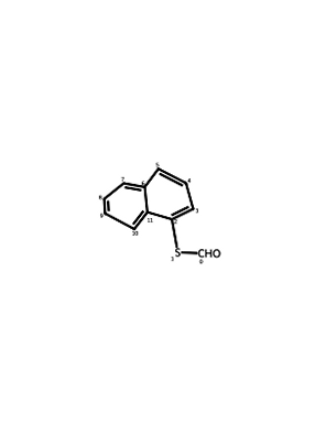 O=CSc1cccc2ccccc12